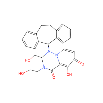 O=C1c2c(O)c(=O)ccn2N(C2c3ccccc3CCc3ccccc32)C(CO)N1CCO